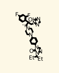 CCC(CC)n1ncn(-c2ccc(N3CCN([C@H](C)[C@](O)(Cn4cncn4)c4ccc(F)cc4F)CC3)cc2)c1=O